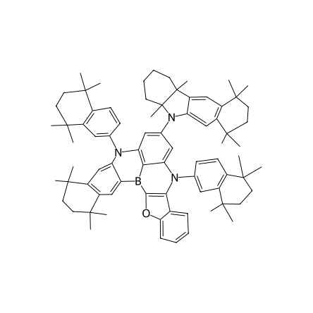 CC1(C)CCC(C)(C)c2cc(N3c4cc5c(cc4B4c6oc7ccccc7c6N(c6ccc7c(c6)C(C)(C)CCC7(C)C)c6cc(N7c8cc9c(cc8C8(C)CCCCC78C)C(C)(C)CCC9(C)C)cc3c64)C(C)(C)CCC5(C)C)ccc21